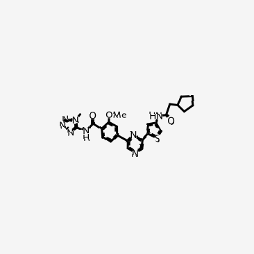 COc1cc(-c2cncc(-c3cc(NC(=O)CC4CCCC4)cs3)n2)ccc1C(=O)Nc1nnnn1C